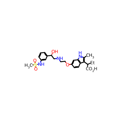 CCC(C(=O)O)c1c(C)[nH]c2cc(OCCNC[C@H](O)c3cccc(NS(C)(=O)=O)c3)ccc12